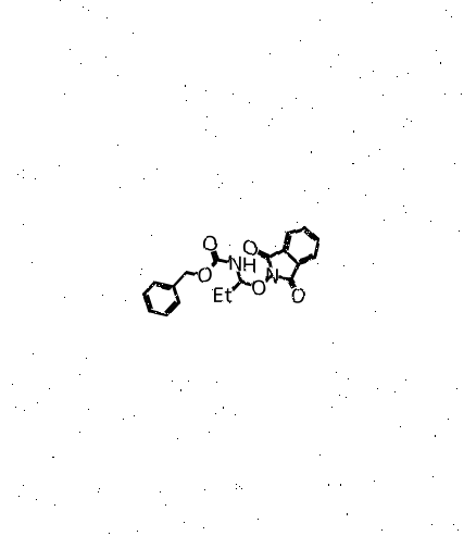 CCC(NC(=O)OCc1ccccc1)ON1C(=O)c2ccccc2C1=O